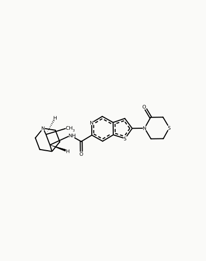 C[C@H]1[C@H](NC(=O)c2cc3sc(N4CCSCC4=O)cc3cn2)C2CCN1CC2